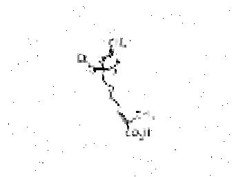 C=COC(COCCC=C(C)C(=O)O)(OCC)OCC